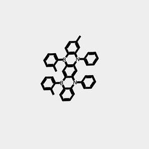 Cc1ccc2c(c1)N(c1ccccc1)c1cc3c(cc1B2c1ccccc1C)B(c1ccccc1C)c1ccccc1N3c1ccccc1